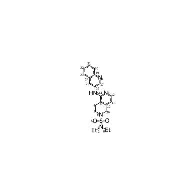 CCN(CC)S(=O)(=O)N1CCc2c(ccnc2Nc2cnc3ccccc3c2)C1